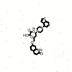 O=C(O)C(=O)O.O=c1ccc2ccc(OCCCCN3CCN(c4cccc5sccc45)CC3)cc2[nH]1